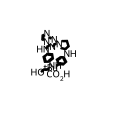 CC(C)(C)c1ccc(NC2CCCN(c3nc(Nc4ccc(NC(CO)C(=O)O)cc4)n4ccnc4n3)C2)cc1